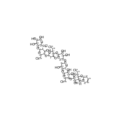 O=C1CC(OC2C(O)CC(OC3C(CCl)OC(O)C(O)C3O)OC2CCl)OC(CCl)C1OC1OCC(OC2CC(O)C(OC3OC(CCl)C(OC4OC(CCl)C(OC5CC=CCO5)C(O)C4O)C(O)C3O)CO2)C(O)C1O